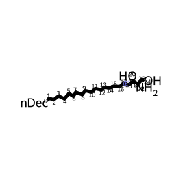 CCCCCCCCCCCCCCCCCCCCCCCCCC/C=C/[C@@H](O)[C@@H](N)CO